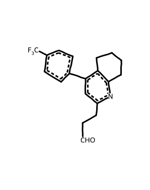 O=CCCc1cc(-c2ccc(C(F)(F)F)cc2)c2c(n1)CCCC2